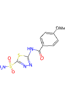 COc1ccc(C(=O)Nc2nnc(S(N)(=O)=O)s2)cc1